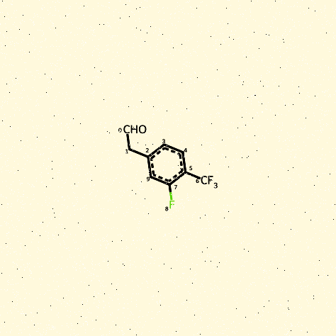 O=CCc1ccc(C(F)(F)F)c(F)c1